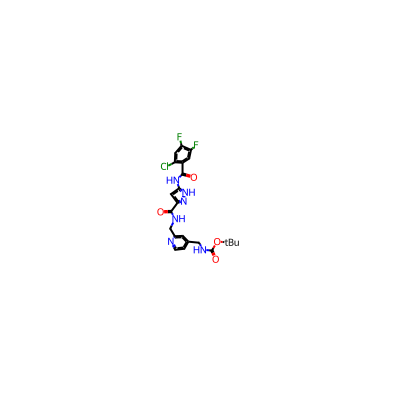 CC(C)(C)OC(=O)NCc1ccnc(CNC(=O)c2cc(NC(=O)c3cc(F)c(F)cc3Cl)[nH]n2)c1